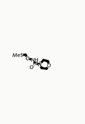 CSCON[NH+]([O-])N1CCOCC1